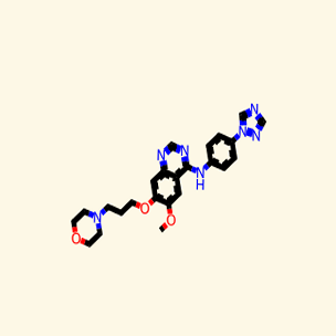 COc1cc2c(Nc3ccc(-n4cncn4)cc3)ncnc2cc1OCCCN1CCOCC1